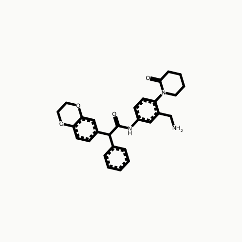 NCc1cc(NC(=O)C(c2ccccc2)c2ccc3c(c2)OCCO3)ccc1N1CCCCC1=O